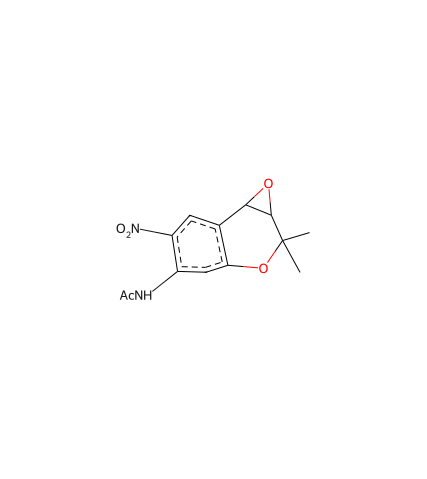 CC(=O)Nc1cc2c(cc1[N+](=O)[O-])C1OC1C(C)(C)O2